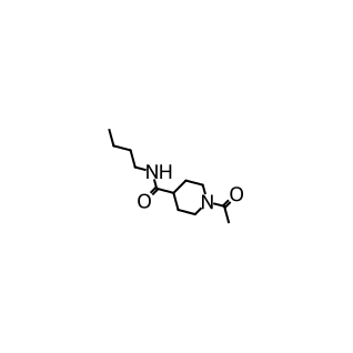 CCCCNC(=O)C1CCN(C(C)=O)CC1